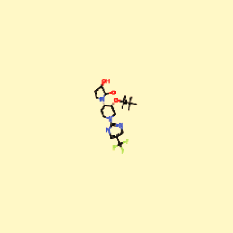 CC(C)(C)[Si](C)(C)O[C@@H]1CN(c2ncc(C(F)(F)F)cn2)CC[C@@H]1N1CC[C@@H](O)C1=O